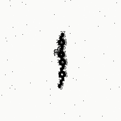 CCCCCC1CCC(/C=C/C2CCC(c3ccc(OCC4C=CC(CCC)CC4)c(F)c3)CC2)CC1